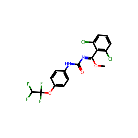 COC(=NC(=O)Nc1ccc(OC(F)(F)C(F)F)cc1)c1c(Cl)cccc1Cl